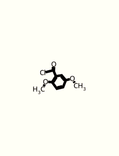 COc1ccc(OC)c(C(=O)Cl)c1